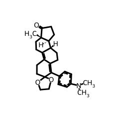 CN(C)c1ccc(C2=C3CC[C@@H]4C(=C3CCC23OCCO3)CC[C@]2(C)C(=O)CC[C@@H]42)cc1